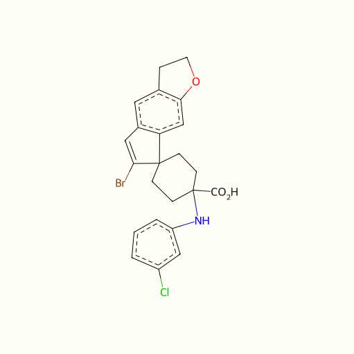 O=C(O)C1(Nc2cccc(Cl)c2)CCC2(CC1)C(Br)=Cc1cc3c(cc12)OCC3